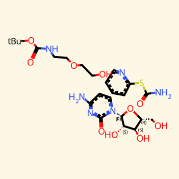 CC(C)(C)OC(=O)NCCOCCO.NC(=O)Sc1ccccn1.Nc1ccn([C@@H]2O[C@H](CO)[C@@H](O)[C@@H]2O)c(=O)n1